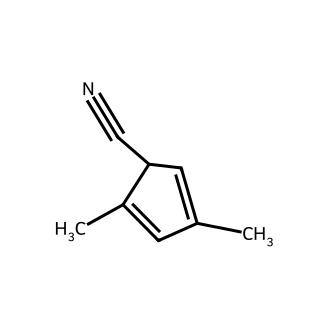 CC1=CC(C#N)C(C)=C1